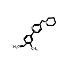 C=Cc1ccc(-c2ccc(CN3CCCCC3)cn2)cc1C